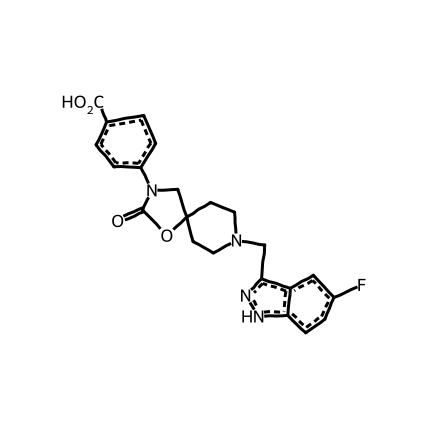 O=C(O)c1ccc(N2CC3(CCN(Cc4n[nH]c5ccc(F)cc45)CC3)OC2=O)cc1